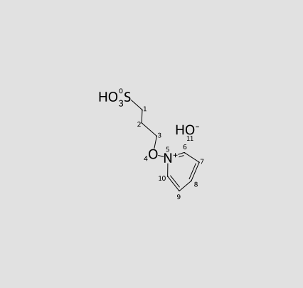 O=S(=O)(O)CCCO[n+]1ccccc1.[OH-]